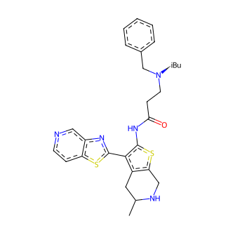 CC[C@H](C)N(CCC(=O)Nc1sc2c(c1-c1nc3cnccc3s1)CC(C)NC2)Cc1ccccc1